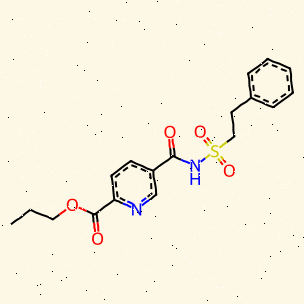 CCCOC(=O)c1ccc(C(=O)NS(=O)(=O)CCc2ccccc2)cn1